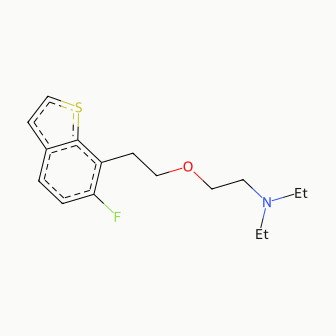 CCN(CC)CCOCCc1c(F)ccc2ccsc12